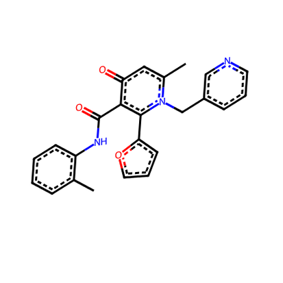 Cc1ccccc1NC(=O)c1c(-c2ccco2)n(Cc2cccnc2)c(C)cc1=O